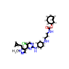 Cn1ncc(-c2nc(N[C@H]3CC[C@H](NCCCNC(=O)OC4C/C=C/CCCC4)CC3)ncc2Cl)c1CC1CC1